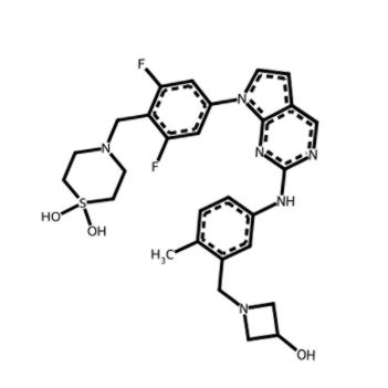 Cc1ccc(Nc2ncc3ccn(-c4cc(F)c(CN5CCS(O)(O)CC5)c(F)c4)c3n2)cc1CN1CC(O)C1